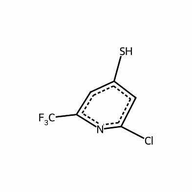 FC(F)(F)c1cc(S)cc(Cl)n1